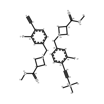 C#Cc1ccc(CN2CC(C(=O)OC)C2)cc1F.COC(=O)C1CN(Cc2ccc(C#C[Si](C)(C)C)c(F)c2)C1